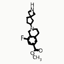 COC(=O)c1cc(F)c2c(c1)CCN(C1CCC3(CNC3)C1)C2